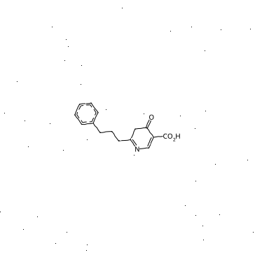 O=C(O)C1=CN=C(CCCc2ccccc2)CC1=O